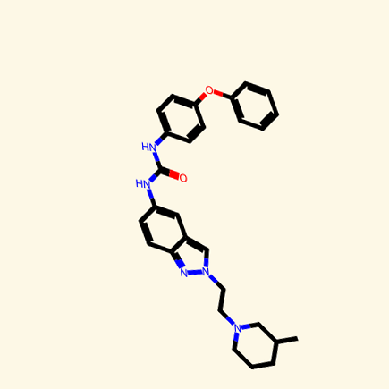 CC1CCCN(CCn2cc3cc(NC(=O)Nc4ccc(Oc5ccccc5)cc4)ccc3n2)C1